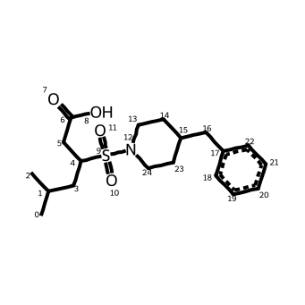 CC(C)CC(CC(=O)O)S(=O)(=O)N1CCC(Cc2ccccc2)CC1